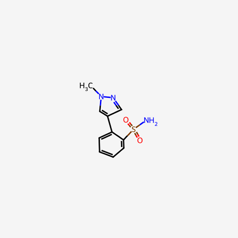 Cn1cc(-c2ccccc2S(N)(=O)=O)cn1